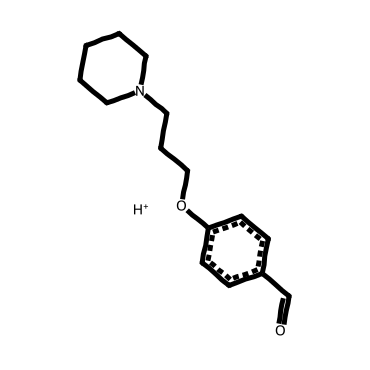 O=Cc1ccc(OCCCN2CCCCC2)cc1.[H+]